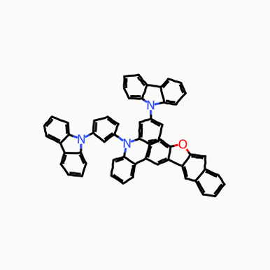 c1cc(N(c2cccc(-n3c4ccccc4c4ccccc43)c2)c2ccccc2-c2ccc3oc4cc5ccccc5cc4c3c2)cc(-n2c3ccccc3c3ccccc32)c1